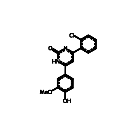 COc1cc(-c2cc(-c3ccccc3Cl)nc(=O)[nH]2)ccc1O